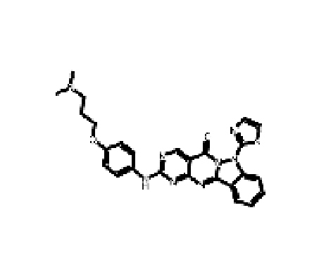 CN(C)CCCOc1ccc(Nc2ncc3c(=O)n4c(nc3n2)c2ccccc2n4-c2nccs2)cc1